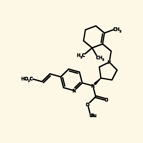 CC1=C(CN2CC[C@@H](N(C(=O)OC(C)(C)C)c3ccc(/C=C/C(=O)O)cn3)C2)C(C)(C)CCC1